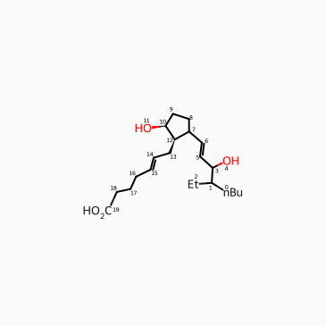 CCCCC(CC)C(O)C=CC1CC[C@H](O)[C@@H]1CC=CCCCC(=O)O